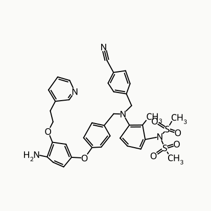 Cc1c(N(Cc2ccc(C#N)cc2)Cc2ccc(Oc3ccc(N)c(OCCc4cccnc4)c3)cc2)cccc1N(S(C)(=O)=O)S(C)(=O)=O